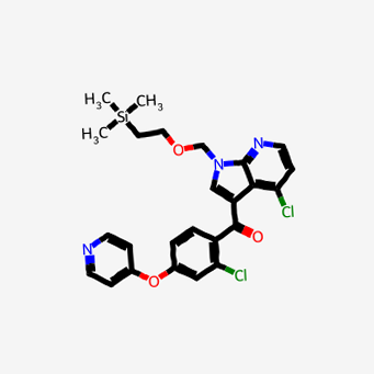 C[Si](C)(C)CCOCn1cc(C(=O)c2ccc(Oc3ccncc3)cc2Cl)c2c(Cl)ccnc21